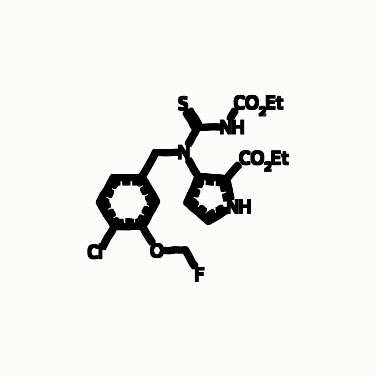 CCOC(=O)NC(=S)N(Cc1ccc(Cl)c(OCF)c1)c1cc[nH]c1C(=O)OCC